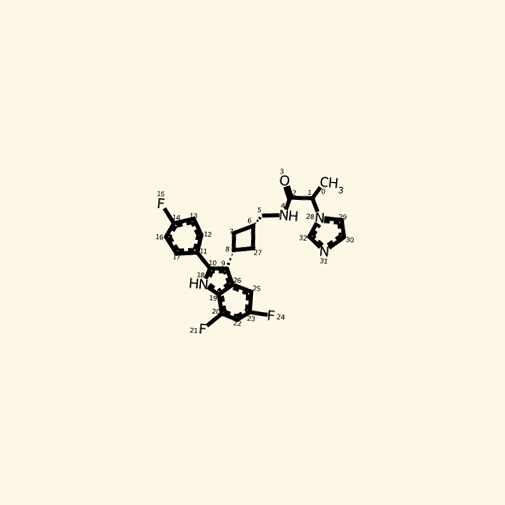 CC(C(=O)NC[C@H]1C[C@@H](c2c(-c3ccc(F)cc3)[nH]c3c(F)cc(F)cc32)C1)n1ccnc1